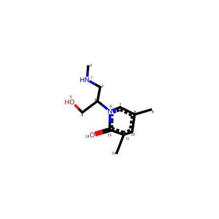 CNCC(CO)n1cc(C)cc(C)c1=O